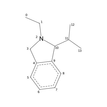 CCN1Cc2ccccc2C1C(C)C